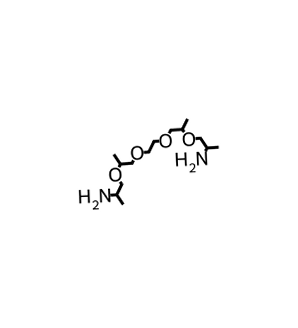 CC(N)COC(C)COCCOCC(C)OCC(C)N